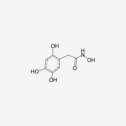 O=C(Cc1cc(O)c(O)cc1O)NO